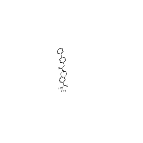 O=C(NO)c1ccc2c(c1)CCN(C(=O)Cc1ccc(-c3ccccc3)cc1)C2